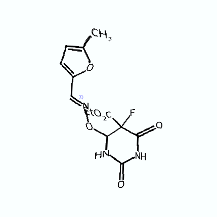 CCOC(=O)C1(F)C(=O)NC(=O)NC1O/N=C/c1ccc(C)o1